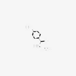 CONC(=O)c1ccc(O)cc1